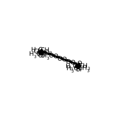 CC1(C)C(=O)N(CCOCCOCCOCCOCCOCCOCCOCCN2C(=O)C(C)(C)N(Br)C2(C)C)C(C)(C)N1Cl